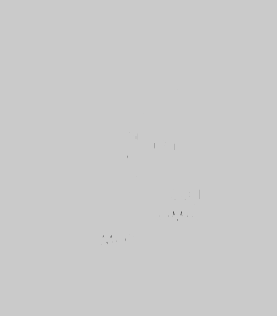 COC(CC(CC(=O)O)O[Si](c1ccccc1)(c1ccccc1)C(C)(C)C)OC